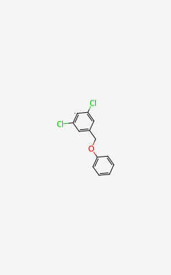 Clc1[c]c(Cl)cc(COc2ccccc2)c1